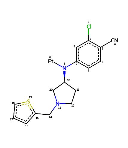 CCN(c1ccc(C#N)c(Cl)c1)[C@H]1CCN(Cc2cccs2)C1